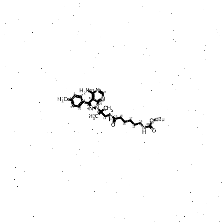 Cc1ccc(-c2nn(C(C)(C)CNC(=O)CCCCCNC(=O)OC(C)(C)C)c3ncnc(N)c23)cc1